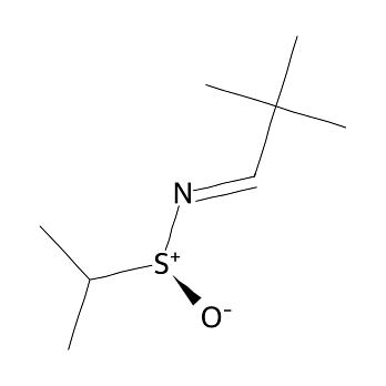 CC(C)[S@+]([O-])/N=C/C(C)(C)C